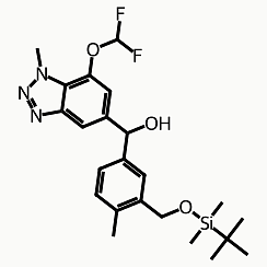 Cc1ccc(C(O)c2cc(OC(F)F)c3c(c2)nnn3C)cc1CO[Si](C)(C)C(C)(C)C